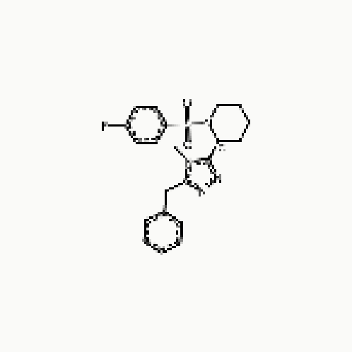 Cn1c(Cc2ccccc2)nnc1[C@@H]1CCCCN1S(=O)(=O)c1ccc(F)cc1